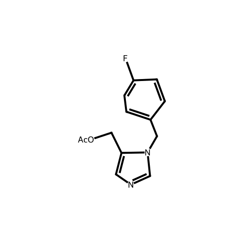 CC(=O)OCc1cncn1Cc1ccc(F)cc1